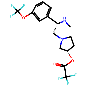 CN[C@H](CN1CC[C@H](OC(=O)C(F)(F)F)C1)c1cccc(OC(F)(F)F)c1